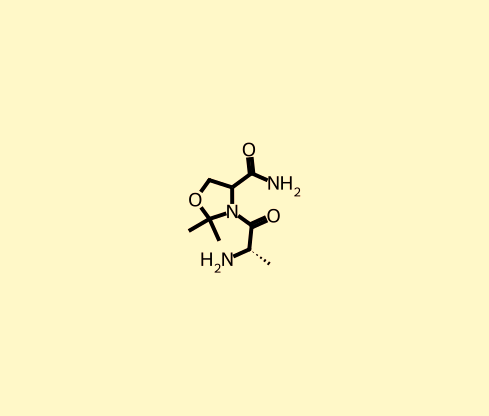 C[C@H](N)C(=O)N1C(C(N)=O)COC1(C)C